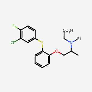 CCN(CC(=O)O)C(C)COc1ccccc1Sc1ccc(F)c(Cl)c1